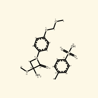 COCOc1ccc(N2CC(N)(SC)C2=O)cc1.Cc1ccc(S(=O)(=O)O)cc1